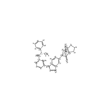 C[C@H](Nc1nccc(-n2cnc3cc(C45CC6CCCC6(C4=O)[N+]5=[N-])ccc32)n1)c1ccccc1